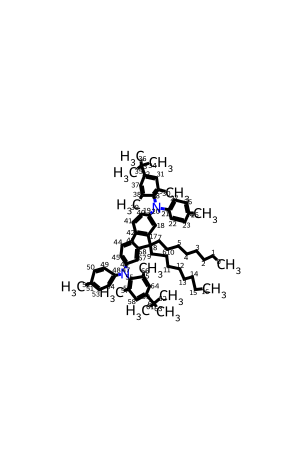 CCCCCCCCC1(CCCCCCCC)c2cc(N(c3ccc(C)cc3)c3c(C)cc(C(C)(C)C)cc3C)ccc2-c2ccc(N(c3ccc(C)cc3)c3c(C)cc(C(C)(C)C)cc3C)cc21